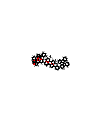 Cc1cc(-c2ccc(N(c3ccc4c(c3)C(c3ccccc3)(c3ccccc3)c3ccccc3-4)c3ccccc3-c3ccc(-c4ccccc4)cc3)c(C)c2)ccc1N(c1ccc2c(c1)C(c1ccccc1)(c1ccccc1)c1ccccc1-2)c1ccccc1-c1ccc(-c2ccccc2)cc1